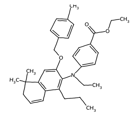 CCCc1c2c(cc(OCc3ccc(C)cc3)c1N(CC)c1ccc(C(=O)OCC)cc1)C(C)(C)CC=C2